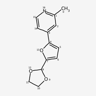 Cc1cc(-c2ccc(C3OCCO3)o2)ccn1